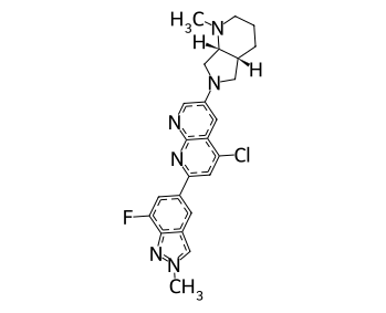 CN1CCC[C@@H]2CN(c3cnc4nc(-c5cc(F)c6nn(C)cc6c5)cc(Cl)c4c3)C[C@@H]21